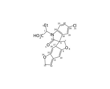 CCC(C(=O)O)N1C(=O)C2(COC3=CC4=CCOC4=CC32)c2cc(Cl)ccc21